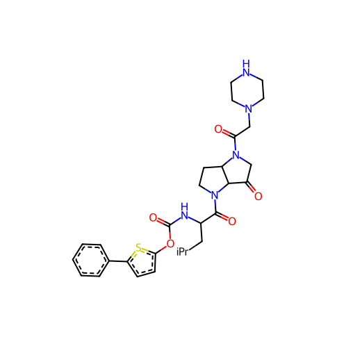 CC(C)CC(NC(=O)Oc1ccc(-c2ccccc2)s1)C(=O)N1CCC2C1C(=O)CN2C(=O)CN1CCNCC1